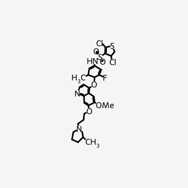 COc1cc2c(OC3C(F)=CC(NS(=O)(=O)C4=C(Cl)SCC4Cl)=CC3C)ccnc2cc1OCCCN1CCCC(C)C1